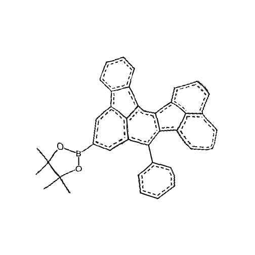 CC1(C)OB(c2cc3c(-c4ccccc4)c4c5cccc6cccc(c65)c4c4c5ccccc5c(c2)c34)OC1(C)C